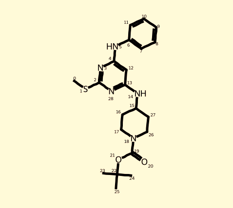 CSc1nc(Nc2ccccc2)cc(NC2CCN(C(=O)OC(C)(C)C)CC2)n1